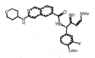 CN/C=C\C(=N)[C@H](NC(=O)c1ccc2cnc(NC3CCOCC3)cc2c1)c1ccc(OC)c(F)c1